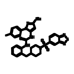 Cc1ccc(-n2nc(C(C)(C)C)cc2NC(=O)Nc2ccccc2CC2CCN(S(=O)(=O)c3ccc4nsnc4c3)CC2)cc1